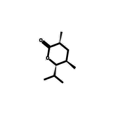 CC(C)[C@@H]1OC(=O)[C@H](C)C[C@H]1C